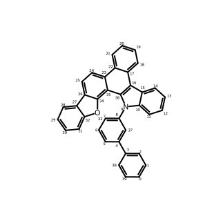 c1ccc(-c2cccc(-n3c4ccccc4c4c5ccccc5c5ccc6c7ccccc7oc6c5c43)c2)cc1